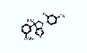 COc1cccc(C2(O)C[C@H](c3ccc(C#N)cc3F)n3cncc32)c1